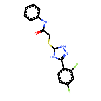 O=C(CSC1NN=C(c2ccc(F)cc2F)N1)Nc1ccccc1